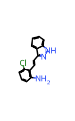 Nc1cccc(Cl)c1C=Cc1n[nH]c2ccccc12